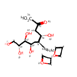 C1COC1.C1COC1.CC(=O)N[C@@H]([C@@H](O)[C@H](O)[C@H](O)CO)[C@@H](O)CC(=O)C(=O)O